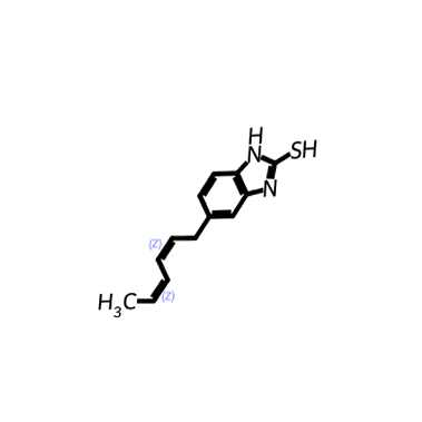 C/C=C\C=C/Cc1ccc2[nH]c(S)nc2c1